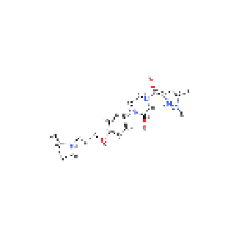 Cc1cc(C(=O)N2CCN(c3ccc(OCCCN4CCC[C@H]4C)cc3)C(=O)C2)nn1C